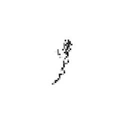 CC#CCCOCCCOCCC(N)Cn1ccnn1